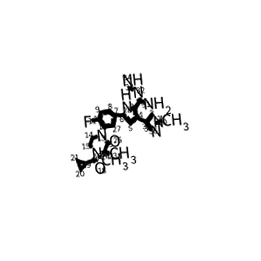 Cn1cc(-c2cc(-c3ccc(F)c(N4CCN(C(=O)C5CC5)C(C)(C)C4=O)c3)[nH]c2/C(N)=N\C=N)cn1